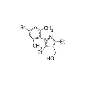 CCc1nn(-c2c(C)cc(Br)cc2C)c(CC)c1CO